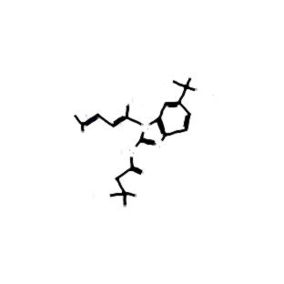 C/C(F)=C\C=C(/C)n1c(NC(=O)CC(O)(C(F)(F)F)C(F)(F)F)nc2ccc(C(C)(C)O)cc21